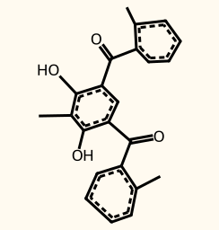 Cc1ccccc1C(=O)c1cc(C(=O)c2ccccc2C)c(O)c(C)c1O